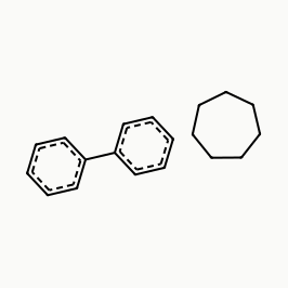 C1CCCCCC1.c1ccc(-c2ccccc2)cc1